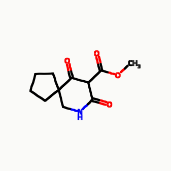 COC(=O)C1C(=O)NCC2(CCCC2)C1=O